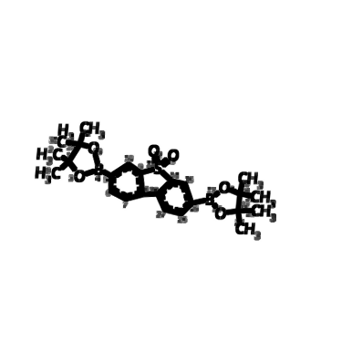 CC1(C)OB(c2ccc3c(c2)S(=O)(=O)c2cc(B4OC(C)(C)C(C)(C)O4)ccc2-3)OC1(C)C